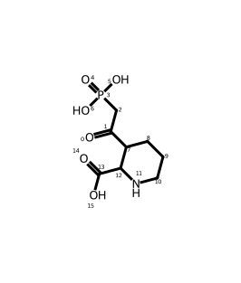 O=C(CP(=O)(O)O)C1CCCNC1C(=O)O